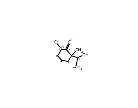 CC(O)C1(C)CCC[C@@H](C)C1=O